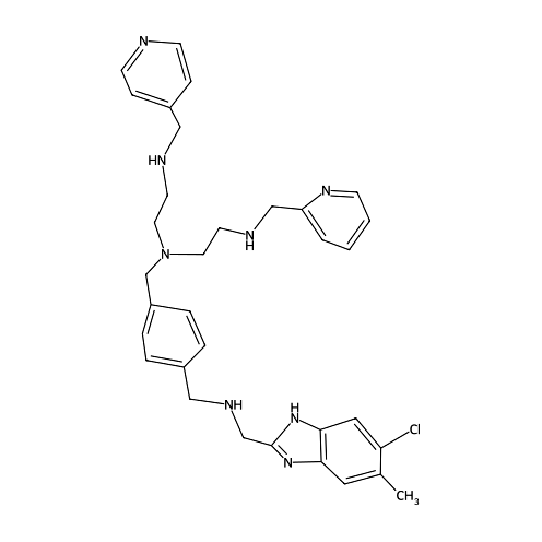 Cc1cc2nc(CNCc3ccc(CN(CCNCc4ccncc4)CCNCc4ccccn4)cc3)[nH]c2cc1Cl